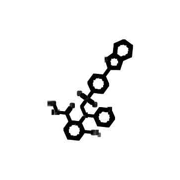 Cc1cccc(C(=O)NO)c1N(CS(=O)(=O)c1ccc(-c2cc3ccccc3s2)cc1)c1cccnc1